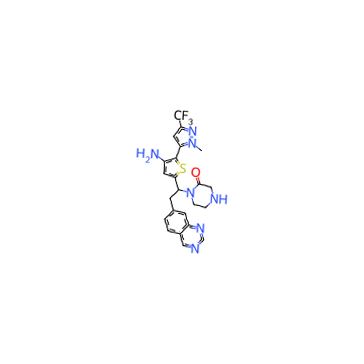 Cn1nc(C(F)(F)F)cc1-c1sc(C(Cc2ccc3cncnc3c2)N2CCNCC2=O)cc1N